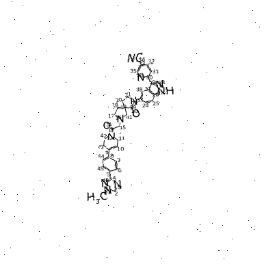 Cn1cnc(-c2ccc(C3=CCN(C(=O)CN4CC[C@]5(CCN(c6ccc7[nH]nc(-c8ccc(C#N)cn8)c7c6)C5=O)C4)CC3)cc2)n1